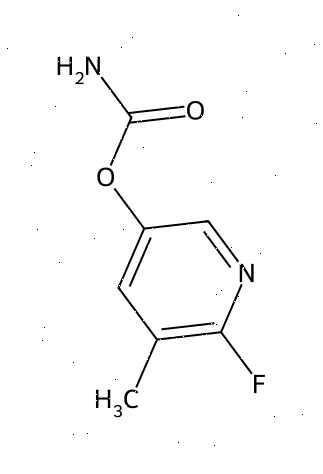 Cc1cc(OC(N)=O)cnc1F